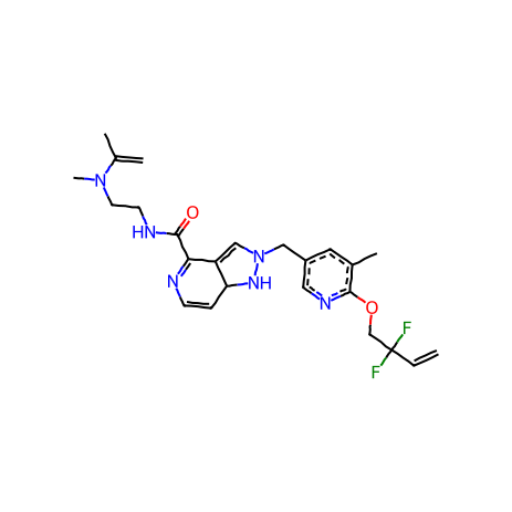 C=CC(F)(F)COc1ncc(CN2C=C3C(C(=O)NCCN(C)C(=C)C)=NC=CC3N2)cc1C